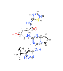 CC1(c2cc(Nc3nc(N4C[C@@H](O)C[C@H]4C(=O)Nc4ncns4)nc4cccn34)n[nH]2)CC1